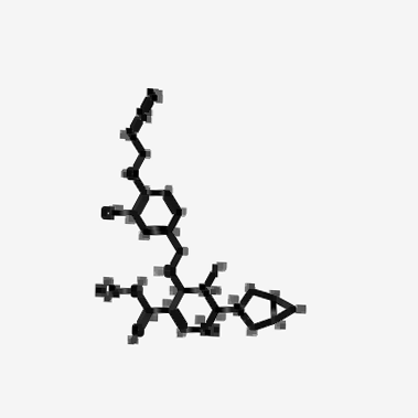 [N-]=[N+]=NCOc1ccc(COC2C(C(=O)ON)=CNC(N3CC4CC4C3)N2I)cc1Cl